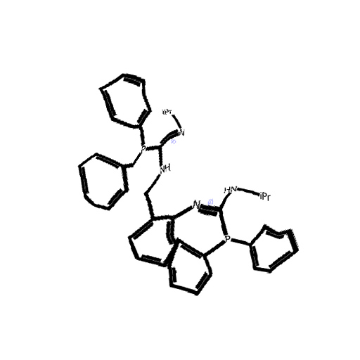 CC(C)/N=C(/NCc1ccccc1/N=C(/NC(C)C)P(c1ccccc1)c1ccccc1)P(c1ccccc1)c1ccccc1